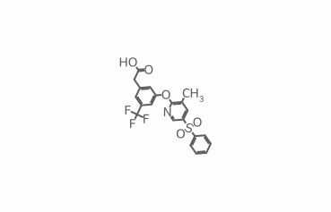 Cc1cc(S(=O)(=O)c2ccccc2)cnc1Oc1cc(CC(=O)O)cc(C(F)(F)F)c1